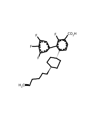 C=CCCCC[C@H]1CC[C@H](c2ccc(C(=O)O)c(F)c2-c2cc(F)c(F)c(F)c2)CC1